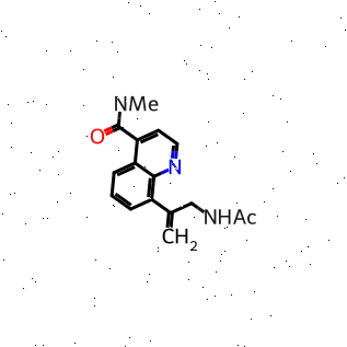 C=C(CNC(C)=O)c1cccc2c(C(=O)NC)ccnc12